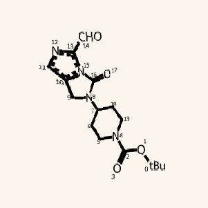 CC(C)(C)OC(=O)N1CCC(N2Cc3cnc(C=O)n3C2=O)CC1